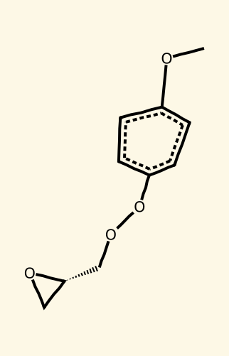 COc1ccc(OOC[C@@H]2CO2)cc1